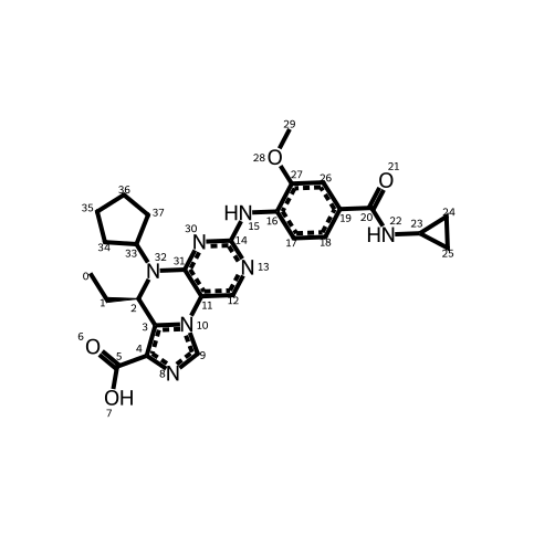 CC[C@@H]1c2c(C(=O)O)ncn2-c2cnc(Nc3ccc(C(=O)NC4CC4)cc3OC)nc2N1C1CCCC1